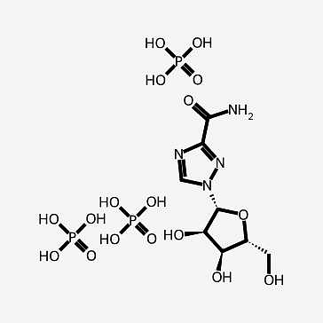 NC(=O)c1ncn([C@@H]2O[C@H](CO)[C@@H](O)[C@H]2O)n1.O=P(O)(O)O.O=P(O)(O)O.O=P(O)(O)O